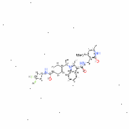 CSc1cc(C)[nH]c(=O)c1CNC(=O)c1c(C)n([C@H](C)C2CCC(C(=O)NC3CC(F)(F)C3)CC2)c2ccccc12